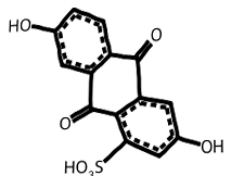 O=C1c2ccc(O)cc2C(=O)c2c1cc(O)cc2S(=O)(=O)O